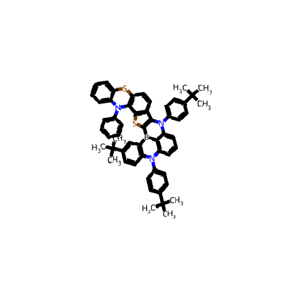 CC(C)(C)c1ccc(N2c3ccc(C(C)(C)C)cc3B3c4sc5c6c(ccc5c4N(c4ccc(C(C)(C)C)cc4)c4cccc2c43)Sc2ccccc2N6c2ccccc2)cc1